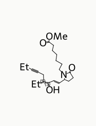 CCC#CC[C@H](CC)[C@H](O)C=CC1CCC(=O)N1CCCCCCC(=O)OC